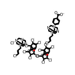 ClC1=C(Cl)C2(Cl)C3C(Cl)C(Cl)C(Cl)C3C1C2(Cl)Cl.ClC1=C(Cl)C2(Cl)C3C(Cl)C(Cl)C(Cl)C3C1C2(Cl)Cl.ClC=CC[N+]12CN3CN(CN(C3)C1)C2.ClC=CC[N+]12CN3CN(CN(C3)C1)C2.O=C([O-])c1ccccc1.[Cl-]